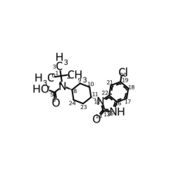 CC(C)(C)N(C(=O)O)[C@H]1CC[C@H](n2c(=O)[nH]c3ccc(Cl)cc32)CC1